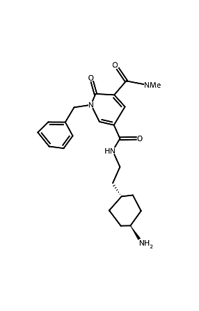 CNC(=O)c1cc(C(=O)NCC[C@H]2CC[C@H](N)CC2)cn(Cc2ccccc2)c1=O